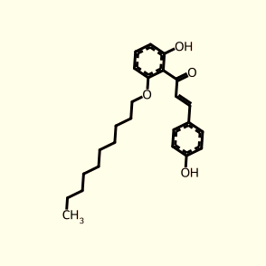 CCCCCCCCCCOc1cccc(O)c1C(=O)/C=C/c1ccc(O)cc1